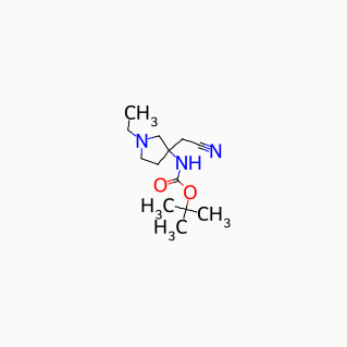 CCN1CCC(CC#N)(NC(=O)OC(C)(C)C)C1